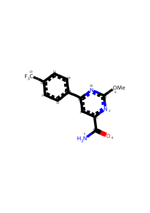 COc1nc(C(N)=O)cc(-c2ccc(C(F)(F)F)cc2)n1